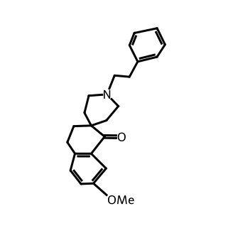 COc1ccc2c(c1)C(=O)C1(CC2)CCN(CCc2ccccc2)CC1